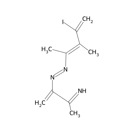 C=C(N=N/C(C)=C(\C)C(=C)I)C(C)=N